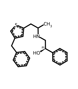 CC(Cc1cc(Cc2ccccc2)cs1)NC[C@H](O)c1ccccc1